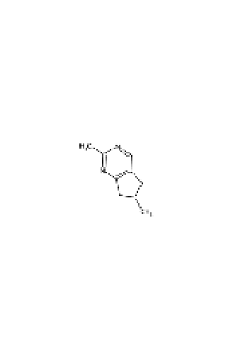 Cc1ncc2c(n1)CC(C)C2